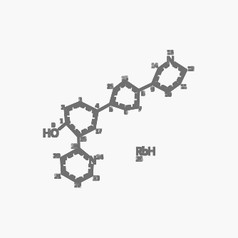 Oc1ccc(-c2ccc(-c3cccnc3)cc2)cc1-c1ccccn1.[RbH]